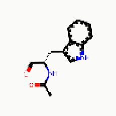 CC(=O)N[C@H](C=O)Cc1c[nH]c2ccccc12